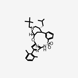 Cc1cccc(C)c1-c1cc2nc(n1)NS(=O)(=O)c1cccc(c1)C1C[C@@H](CN(CC(C)(C)C)C[C@@H]1CC(C)C)O2